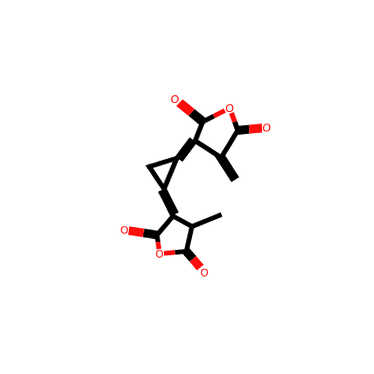 C=C1C(=O)OC(=O)/C1=C1\C\C1=C1/C(=O)OC(=O)C1C